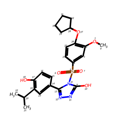 COc1cc(S(=O)(=O)n2c(O)nnc2-c2ccc(O)c(C(C)C)c2)ccc1OC1CCCC1